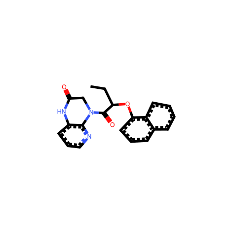 CCC(Oc1cccc2ccccc12)C(=O)N1CC(=O)Nc2cccnc21